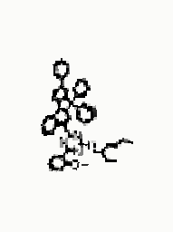 CCCCC(CC)COc1nc(-c2ccccc2O)nc(-c2cc3c(c4ccccc24)-c2ccc(-c4ccccc4)cc2C3(c2ccccc2)c2ccccc2)n1